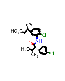 CCCC(CC(=O)O)c1ccc(Cl)c(NC(=O)[C@H](C2C=CC(Cl)=CC2)[C@@H](C)C(F)(F)F)c1